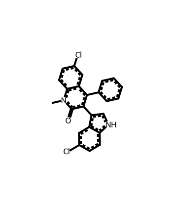 Cn1c(=O)c(-c2c[nH]c3ccc(Cl)cc23)c(-c2ccccc2)c2cc(Cl)ccc21